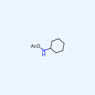 CC(=O)ONC1CCCCC1